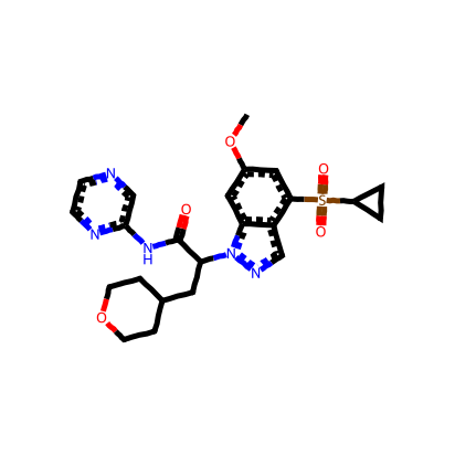 COc1cc(S(=O)(=O)C2CC2)c2cnn(C(CC3CCOCC3)C(=O)Nc3cnccn3)c2c1